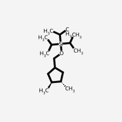 CC(C)[Si](OCC1C[C@H](C)[C@@H](C)C1)(C(C)C)C(C)C